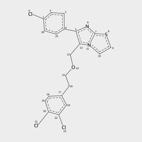 Clc1ccc(-c2nc3sccn3c2COCCc2ccc(Cl)c(Cl)c2)cc1